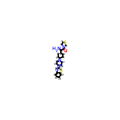 N[C@H](C(=O)N1CCSC1)[C@H]1CC[C@H](N2CCN(c3nc4ccccc4s3)CC2)CC1